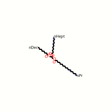 CCC/C=C/CC/C=C/CCCCCCCCCCC(=O)OCC(COC(=O)CCCCCCCCCCCCCCCCC)OC(=O)CCCCC/C=C/C/C=C/CCCCCCC